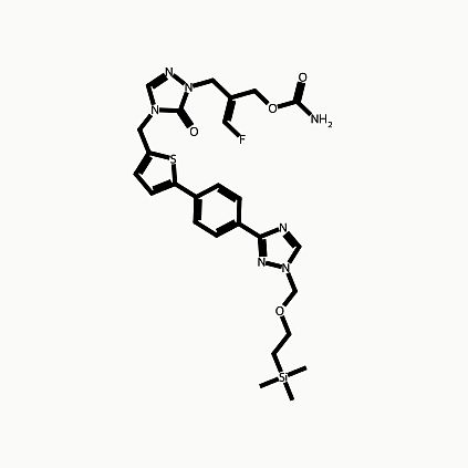 C[Si](C)(C)CCOCn1cnc(-c2ccc(-c3ccc(Cn4cnn(CC(=CF)COC(N)=O)c4=O)s3)cc2)n1